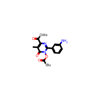 COC(=O)c1nc(-c2cccc(N)c2)n(OC(=O)C(C)(C)C)c(=O)c1C